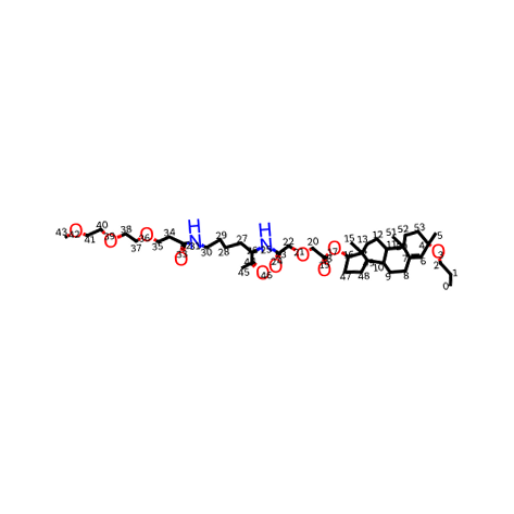 CCCOC1(C)C=C2CCC3C(CCC4(C)C(OC(=O)COCC(=O)NC(CCCCNC(=O)CCOCCOCCOC)C(C)=O)CCC34)C2(C)CC1